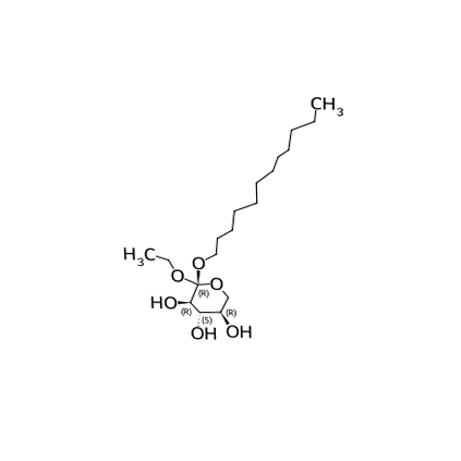 CCCCCCCCCCCCO[C@@]1(OCC)OC[C@@H](O)[C@H](O)[C@H]1O